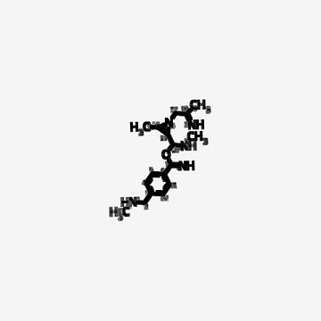 CNCc1ccc(C(=N)OC(NC)C2=C(C)N2CC(C)=N)cc1